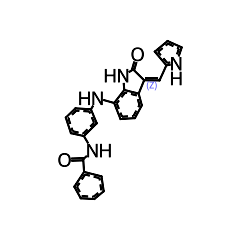 O=C1Nc2c(Nc3cccc(NC(=O)c4ccccc4)c3)cccc2/C1=C/c1ccc[nH]1